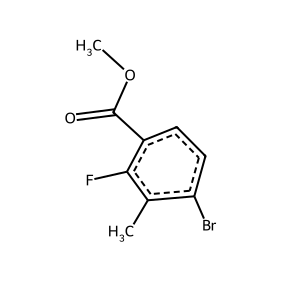 COC(=O)c1ccc(Br)c(C)c1F